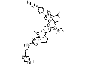 CC[C@H](C)[C@@H]([C@@H](CC(=O)N1CCC[C@H]1[C@H](OC)[C@@H](C)C(=O)NCCc1c[nH]cn1)OC)N(C)C(=O)[C@@H](NC(=O)c1ccc(N)cc1)C(C)C